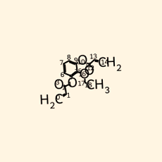 C=CC(=O)Oc1cccc(OC(=O)C=C)c1OCC